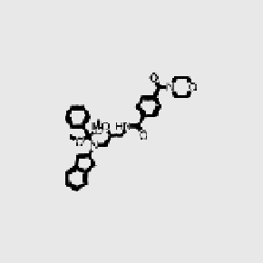 COC(OC)(c1ccccc1)N(CC(O)CNC(=O)c1ccc(C(=O)N2CCOCC2)cc1)C1Cc2ccccc2C1